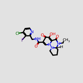 CCN1C(=O)c2c(O)c(=O)c(C(=O)NCc3nccc(Cl)c3I)cn2N2CCCC[C@@H]12